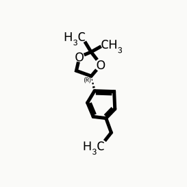 CCc1ccc([C@@H]2COC(C)(C)O2)cc1